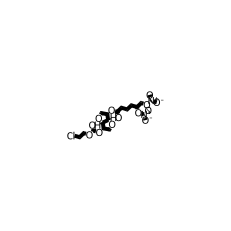 O=C(CCCC(CO[N+](=O)[O-])O[N+](=O)[O-])O[C@@H]1CO[C@@H]2[C@@H]1OC[C@H]2OC(=O)OCCCl